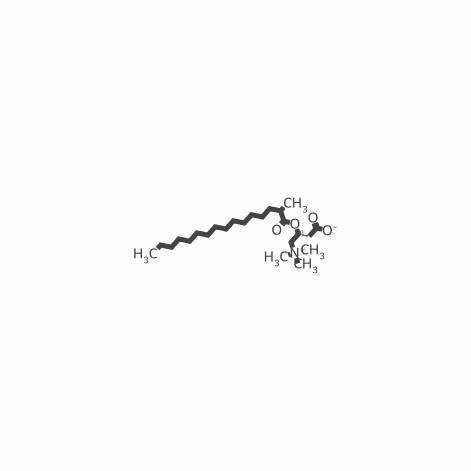 CCCCCCCCCCCCCCC(C)C(=O)O[C@H](CC(=O)[O-])C[N+](C)(C)C